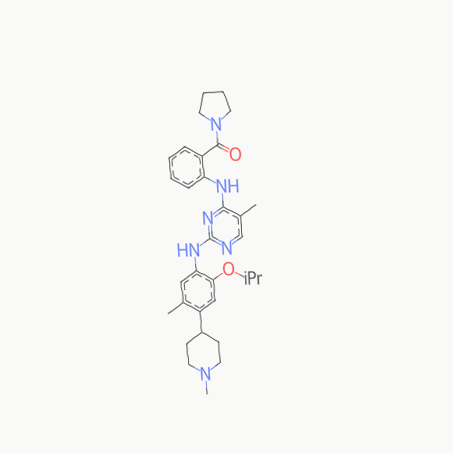 Cc1cc(Nc2ncc(C)c(Nc3ccccc3C(=O)N3CCCC3)n2)c(OC(C)C)cc1C1CCN(C)CC1